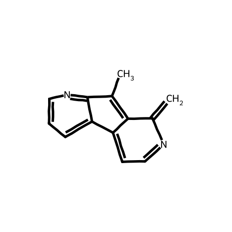 C=c1nccc2c1=C(C)c1ncccc1-2